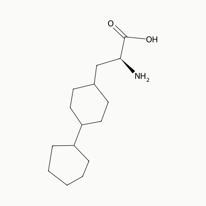 N[C@@H](CC1CCC(C2CCCCC2)CC1)C(=O)O